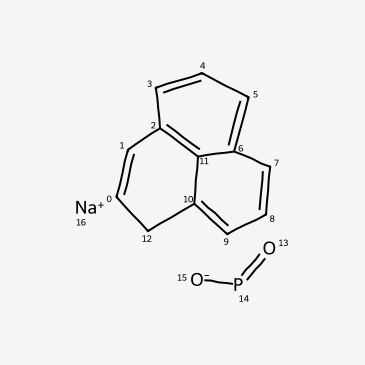 C1=Cc2cccc3cccc(c23)C1.O=P[O-].[Na+]